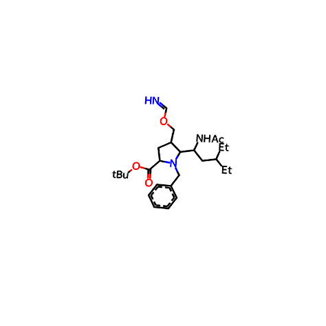 CCC(CC)CC(NC(C)=O)C1C(COC=N)CC(C(=O)OC(C)(C)C)N1Cc1ccccc1